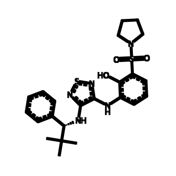 CC(C)(C)[C@@H](Nc1nsnc1Nc1cccc(S(=O)(=O)N2CCCC2)c1O)c1ccccc1